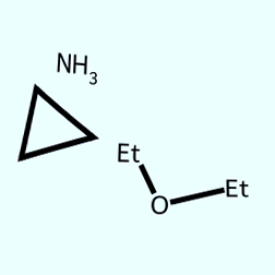 C1CC1.CCOCC.N